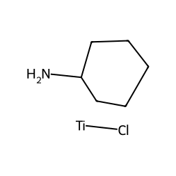 NC1CCCCC1.[Cl][Ti]